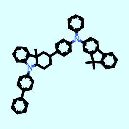 CC1(C)c2ccccc2-c2ccc(N(c3ccccc3)c3ccc(C4CCC5N(c6ccc(-c7ccccc7)cc6)c6ccccc6C5(C)C4)cc3)cc21